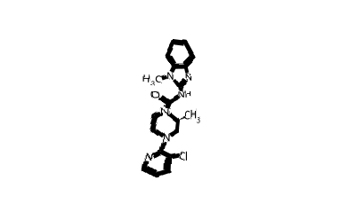 C[C@@H]1CN(c2ncccc2Cl)CCN1C(=O)Nc1nc2ccccc2n1C